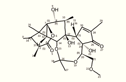 CC[C@H](C)C(=O)O[C@@]12[C@H](O)[C@@H](C)[C@@]3(O)C(OC(C)(C)O[C@H](COC)[C@]4(O)C(=O)C(C)=C[C@H]43)[C@@H]1C2(C)C